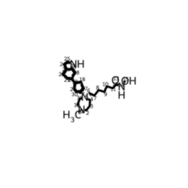 CN1CCC[N+](CCCCCCC(=O)NO)(c2ccc(-c3ccc4cc[nH]c4c3)cc2)CC1